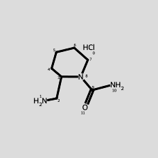 Cl.NCC1CCCCN1C(N)=O